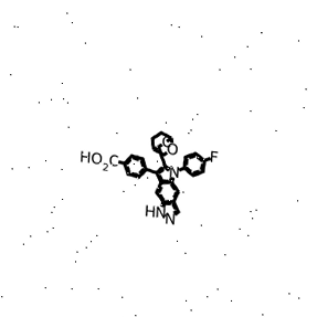 O=C(O)c1ccc(-c2c(C3CC4CCC3CO4)n(-c3ccc(F)cc3)c3cc4cn[nH]c4cc23)cc1